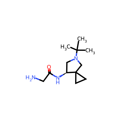 CC(C)(C)N1C[C@H](NC(=O)CN)C2(CC2)C1